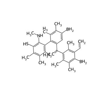 Bc1cc(C(=C)c2c(C)c(C)c(B)c(C=C)c2C)c(-c2c(C)c(C)c(C)c(S)c2NC)c(C)c1C